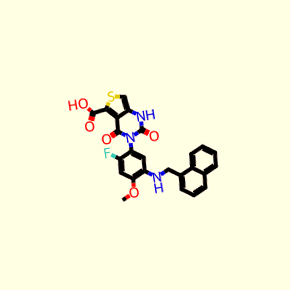 COc1cc(F)c(-n2c(=O)[nH]c3csc(C(=O)O)c3c2=O)cc1NCc1cccc2ccccc12